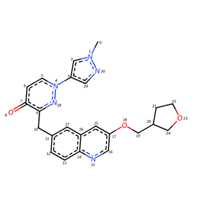 Cn1cc(-n2ccc(=O)c(Cc3ccc4ncc(OCC5CCOC5)cc4c3)n2)cn1